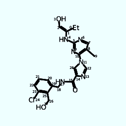 CC/C(=C\O)Nc1ncc(C)c(-n2cnc(C(=O)NCc3cccc(Cl)c3CO)c2)n1